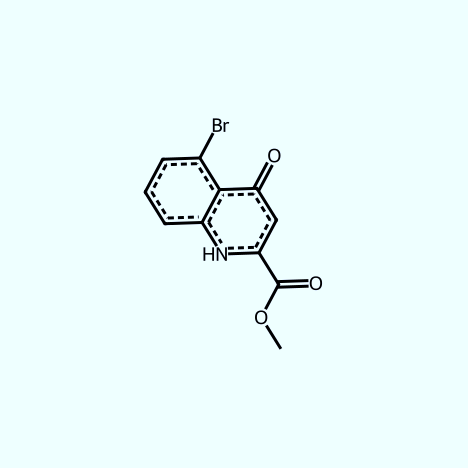 COC(=O)c1cc(=O)c2c(Br)cccc2[nH]1